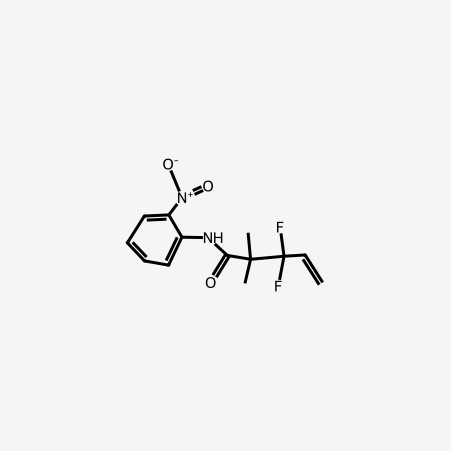 C=CC(F)(F)C(C)(C)C(=O)Nc1ccccc1[N+](=O)[O-]